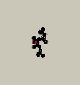 c1ccc(-c2nc(-c3cccc(-n4c5ccccc5c5ccccc54)c3)nc(-c3ccc(-n4c5ccccc5c5ccccc54)c(-c4ccc5c(c4)c4ccc(-c6ccc7c(c6)c6ccccc6n7-c6ccccc6)cc4n5-c4ccccc4)c3)n2)cc1